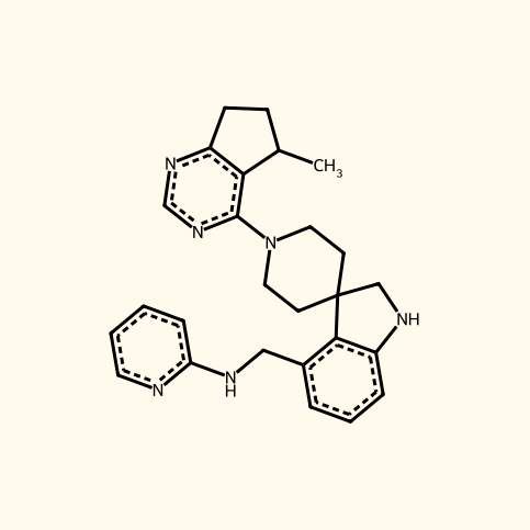 CC1CCc2ncnc(N3CCC4(CC3)CNc3cccc(CNc5ccccn5)c34)c21